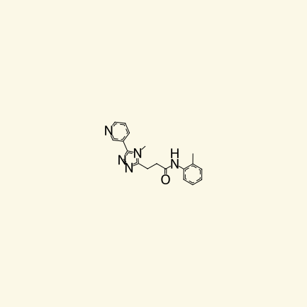 Cc1ccccc1NC(=O)CCc1nnc(-c2cccnc2)n1C